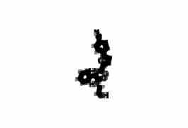 N#Cc1ccc(-c2ccc(C(=O)N[C@H](C(=O)NCCO)C3CCCCC3)o2)cc1